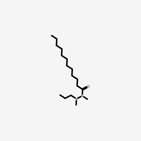 CCCCCCCCCCCC(=O)N(C)N(C)CCC